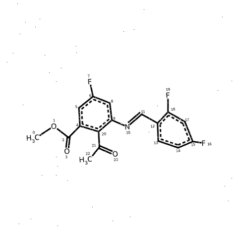 COC(=O)c1cc(F)cc(/N=C/c2ccc(F)cc2F)c1C(C)=O